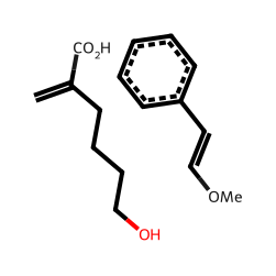 C=C(CCCCO)C(=O)O.COC=Cc1ccccc1